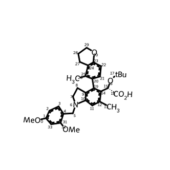 COc1ccc(CN2CCc3c2cc(C)c([C@H](OC(C)(C)C)C(=O)O)c3-c2ccc3c(c2C)CCCO3)c(OC)c1